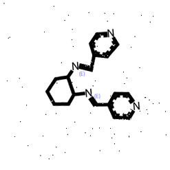 C(=N\C1CCCCC1/N=C/c1ccncc1)/c1ccncc1